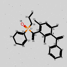 C=C(c1ccccc1)c1c(C)cc(C)c(C(=C)P(=O)(CCC)C2=CCCC=C2)c1C